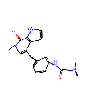 CN(C)C(=O)Nc1cccc(-c2cn(C)c(=O)c3[nH]ccc23)c1